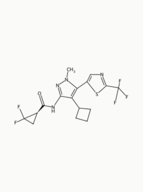 Cn1nc(NC(=O)[C@H]2CC2(F)F)c(C2CCC2)c1-c1cnc(C(F)(F)F)s1